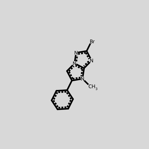 Cn1c(-c2ccccc2)cn2nc(Br)nc12